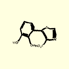 O=C(O)c1n[c]sc1-c1cccc(O)c1O